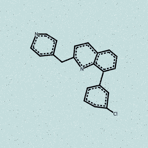 Clc1cccc(-c2cccc3ccc(Cc4ccncc4)nc23)c1